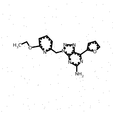 CCOc1cccc(Cn2nnc3c(-c4ccco4)nc(N)nc32)n1